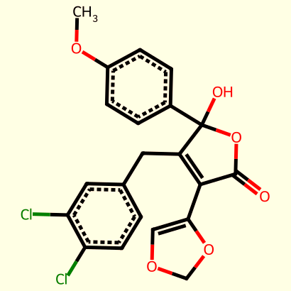 COc1ccc(C2(O)OC(=O)C(C3=COCO3)=C2Cc2ccc(Cl)c(Cl)c2)cc1